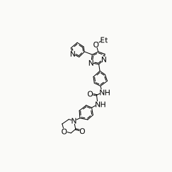 CCOc1cnc(-c2ccc(NC(=O)Nc3ccc(N4CCOCC4=O)cc3)cc2)nc1-c1cccnc1